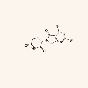 O=C1CCC(N2Cc3cc(Br)cc(Br)c3C2=O)C(=O)N1